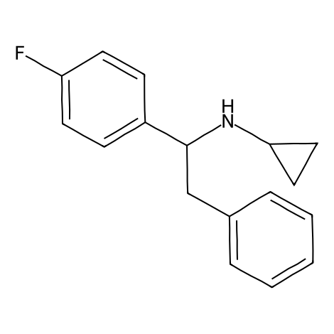 Fc1ccc(C(Cc2ccccc2)NC2CC2)cc1